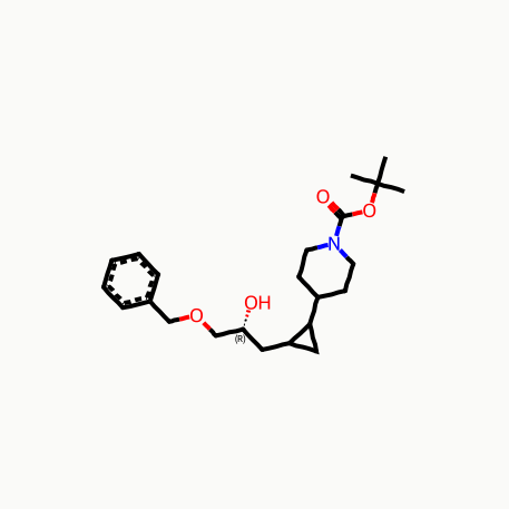 CC(C)(C)OC(=O)N1CCC(C2CC2C[C@@H](O)COCc2ccccc2)CC1